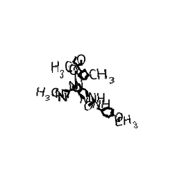 COc1ccc(CNC(=O)Nc2cc3c(cn2)c(-c2cnn(C)c2)nn3-c2cc(C)cc([C@]3(OC)CCOC3)n2)cc1